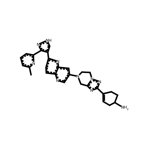 Cc1cccc(-c2n[nH]cc2-c2ccc3ncc(N4CCn5nc(C6=CCC(N)CC6)nc5C4)cc3n2)n1